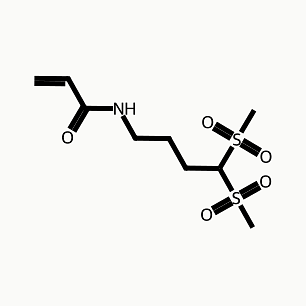 C=CC(=O)NCCCC(S(C)(=O)=O)S(C)(=O)=O